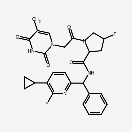 Cc1cn(CC(=O)N2CC(F)CC2C(=O)NC(c2ccccc2)c2ccc(C3CC3)c(F)n2)c(=O)[nH]c1=O